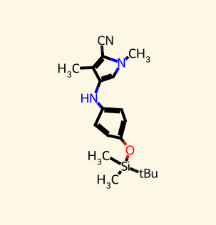 Cc1c(Nc2ccc(O[Si](C)(C)C(C)(C)C)cc2)cn(C)c1C#N